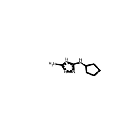 Nc1nnc(NC2CCCC2)[nH]1